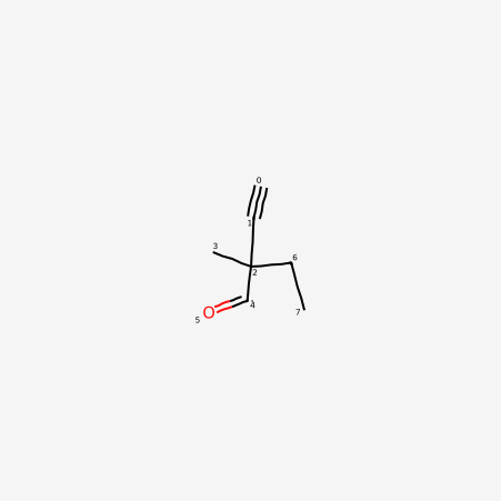 C#CC(C)([C]=O)CC